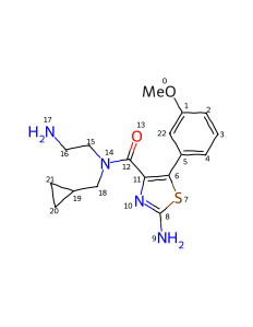 COc1cccc(-c2sc(N)nc2C(=O)N(CCN)CC2CC2)c1